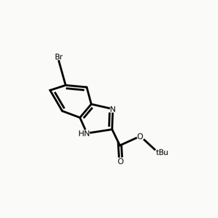 CC(C)(C)OC(=O)c1nc2cc(Br)ccc2[nH]1